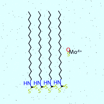 CCCCCCCCCCCCCCCCCCNC(=S)[S-].CCCCCCCCCCCCCCCCCCNC(=S)[S-].CCCCCCCCCCCCCCCCCCNC(=S)[S-].CCCCCCCCCCCCCCCCCCNC(=S)[S-].O=S.[Mo+4]